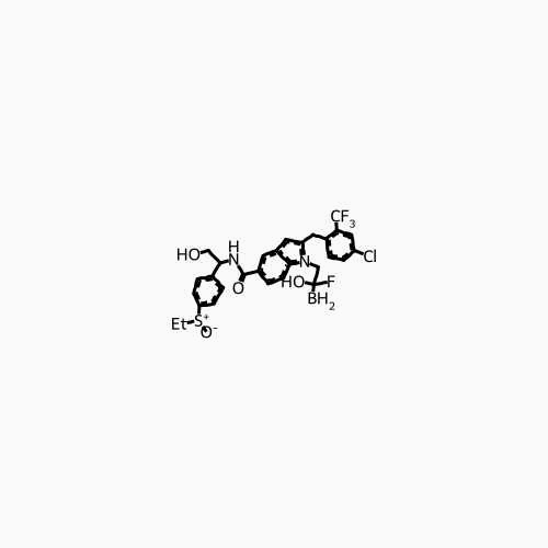 BC(O)(F)Cn1c(Cc2ccc(Cl)cc2C(F)(F)F)cc2cc(C(=O)NC(CO)c3ccc([S+]([O-])CC)cc3)ccc21